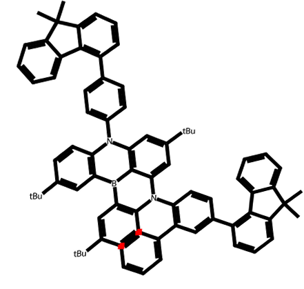 CC(C)(C)c1ccc2c(c1)B1c3cc(C(C)(C)C)ccc3N(c3ccc(-c4cccc5c4-c4ccccc4C5(C)C)cc3-c3ccccc3)c3cc(C(C)(C)C)cc(c31)N2c1ccc(-c2cccc3c2-c2ccccc2C3(C)C)cc1